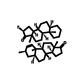 C[C@H]1C=C[C@@]2(C)[C@@H](CC[C@@H]3[C@@H]2CC[C@]2(C)C(=O)CC[C@@H]32)C1.C[C@]12CCCC[C@@H]1CC[C@@H]1[C@@H]2CC[C@]2(C)C(=O)[C@@H](F)C[C@@H]12